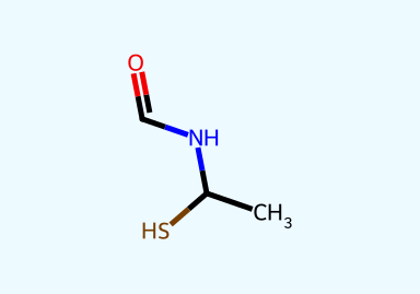 CC(S)NC=O